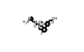 CCOc1cc(CC(=O)O)ccc1-c1ccc(F)c2c1CN(OC(=O)OCc1ccnn1C)CC2